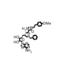 COc1ccc(CCNC(=O)[C@@H](N)CC[C@H](CNCc2ccccc2)C[C@H]2O[C@@H](n3cnc4c(N)ncnc43)C(O)C2O)cc1